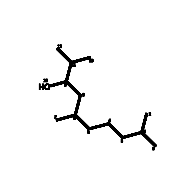 CC(C)CCCC(C)CC(O)C(C)C